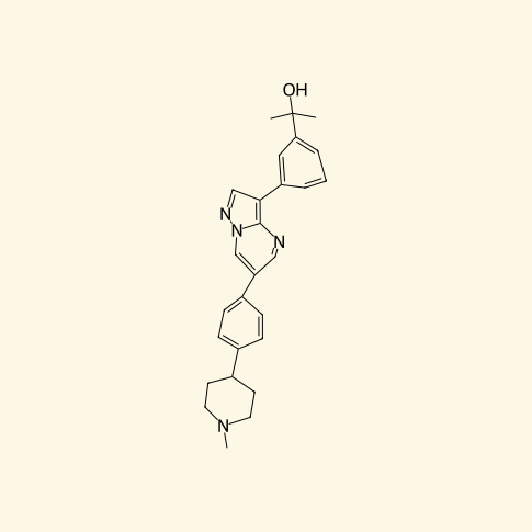 CN1CCC(c2ccc(-c3cnc4c(-c5cccc(C(C)(C)O)c5)cnn4c3)cc2)CC1